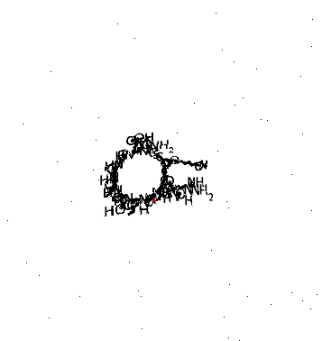 C=NOCCCCCCOc1cc2cc(c1)CSC[C@H](NC(=O)[C@H](CCCNC(=N)N)NC(C)=O)C(=O)N1CCC[C@H]1C(=O)N[C@@H](CCCC)C(=O)N[C@@H](CC(=O)O)C(=O)N[C@@H]([C@@H](C)CC)C(=O)N[C@@H](C)C(=O)N[C@@H](C)C(=O)N[C@@H](CCC(=O)O)C(=O)N[C@H](C(N)=O)CSC2